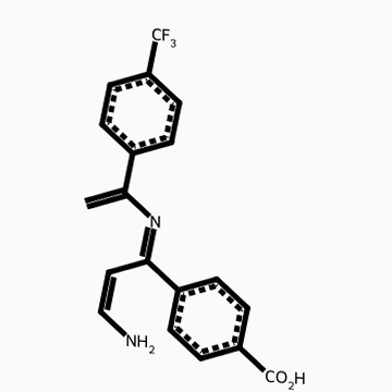 C=C(/N=C(\C=C/N)c1ccc(C(=O)O)cc1)c1ccc(C(F)(F)F)cc1